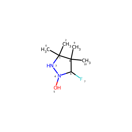 CC1(C)NN(O)C(F)C1(C)C